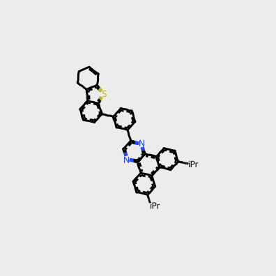 CC(C)c1ccc2c(c1)c1cc(C(C)C)ccc1c1nc(-c3cccc(-c4cccc5c6c(sc45)C=CCC6)c3)cnc21